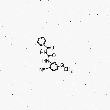 COc1ccc(C#N)c(NC(=O)NC(=O)c2ccccc2)c1